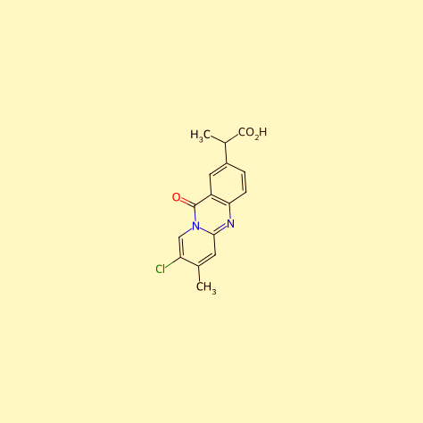 Cc1cc2nc3ccc(C(C)C(=O)O)cc3c(=O)n2cc1Cl